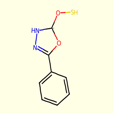 SO[C]1NN=C(c2ccccc2)O1